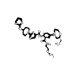 CC[C@@H]1CN(c2ccc(NC(=O)c3csc(N4CCC(Oc5ncccn5)CC4)n3)c(C(=O)NCCOC)c2)CCO1